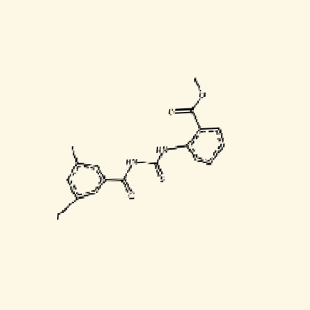 COC(=O)c1ccccc1NC(=S)NC(=O)c1cc(C)cc(I)c1